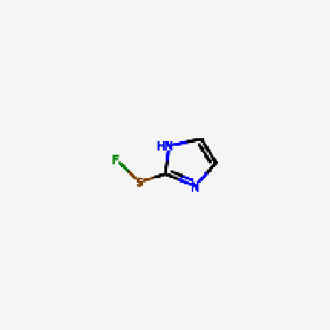 FSc1ncc[nH]1